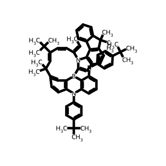 C\C=C1/C=C\C(C(C)(C)C)=C\C(C)(C)c2ccc3c(c2)B2c4c(cccc4N(c4ccc(C(C)(C)C)cc4)c4c2n1c1c2c(ccc41)C(C)(C)c1ccccc1-2)N3c1ccc(C(C)(C)C)cc1